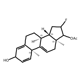 CC(=O)OC1C(F)C[C@H]2[C@@H]3CCC4=CC(O)C=C[C@]4(C)C3=CC[C@]12C